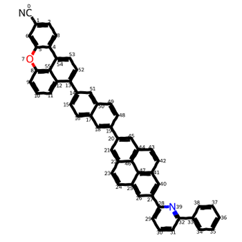 N#Cc1ccc2c(c1)Oc1cccc3c(-c4ccc5cc(-c6cc7ccc8cc(-c9cccc(-c%10ccccc%10)n9)cc9ccc(c6)c7c89)ccc5c4)ccc-2c13